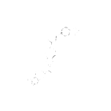 O=C(C=Cc1ccc(OC(F)(F)F)cc1)N1CC=C2CN(C(=O)N3CCc4[nH]ncc4C3)C[C@H]2CC1